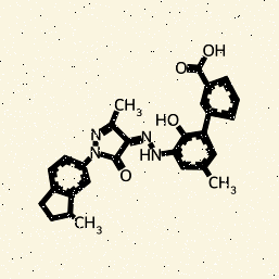 CC1=NN(c2ccc3c(c2)C(C)CC3)C(=O)C1=NNc1cc(C)cc(-c2cccc(C(=O)O)c2)c1O